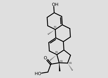 C[C@H]1CC2C3CCC4=CC(O)CC[C@]4(C)C3=CC[C@]2(C)[C@@]1(C)C(=O)CO